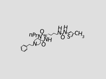 CCCN1C(=O)[C@H](CCCCNC(=O)Nc2cc(C)cs2)NC(=O)C12CCN(CCc1ccccc1)CC2